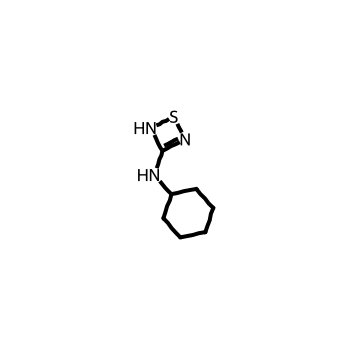 C1CCC(Nc2ns[nH]2)CC1